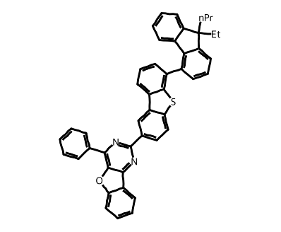 CCCC1(CC)c2ccccc2-c2c(-c3cccc4c3sc3ccc(-c5nc(-c6ccccc6)c6oc7ccccc7c6n5)cc34)cccc21